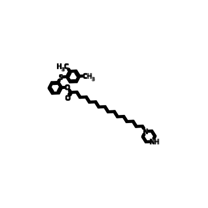 Cc1ccc(Sc2ccccc2OC(=O)CCCCCCCCCCCCCCCN2CCNCC2)c(C)c1